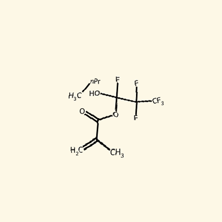 C=C(C)C(=O)OC(O)(F)C(F)(F)C(F)(F)F.CCCC